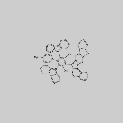 Cc1ccc(-c2c(-n3c4c(c5ccccc53)CCC=C4)c(C#N)c(-n3c4cc5c(cc4c4c6ccccc6ccc43)OC3C=CC=CC53)c(C#N)c2-n2c3ccccc3c3ccccc32)cc1